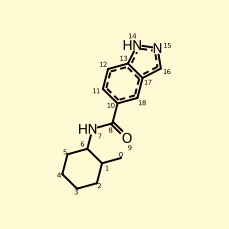 CC1CCCCC1NC(=O)c1ccc2[nH]ncc2c1